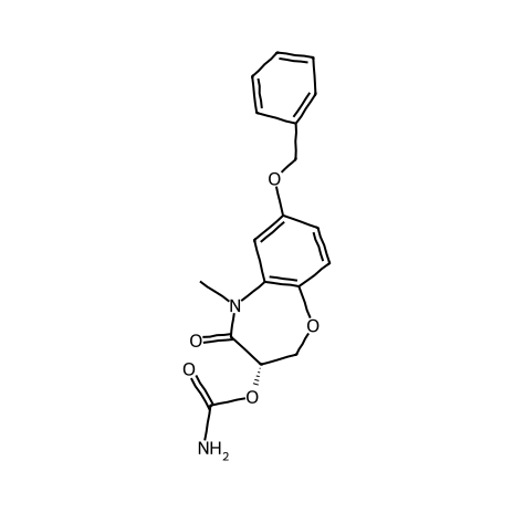 CN1C(=O)[C@@H](OC(N)=O)COc2ccc(OCc3ccccc3)cc21